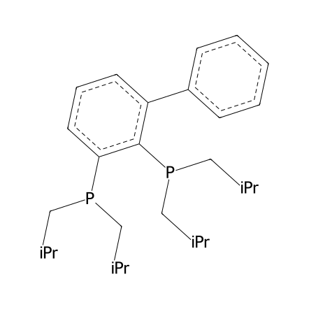 CC(C)CP(CC(C)C)c1cccc(-c2ccccc2)c1P(CC(C)C)CC(C)C